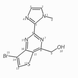 Cn1ccnc1-c1nc(CO)c2scc(Br)c2n1